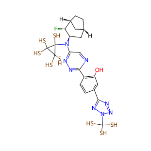 Oc1cc(-c2nnn(C(S)(S)S)n2)ccc1-c1ncc(N([C@@H]2C[C@H]3CC[C@H](C3)[C@@H]2F)C2(S)C(S)(S)C2(S)S)nn1